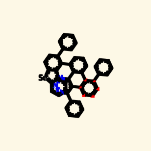 c1ccc(-c2ccccc2-c2cccc(-c3c(-c4ccccc4)ccc4[se]c5ccccc5c34)c2-c2nnnc(-c3ccccc3)c2-c2ccccc2)cc1